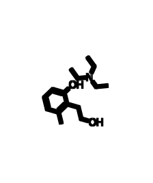 CCN(CC)CC.Cc1cccc(O)c1CCO